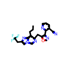 CCCc1c(Cc2ocnc2-c2ncccc2C#N)ncn2cc(CC(F)(F)F)nc12